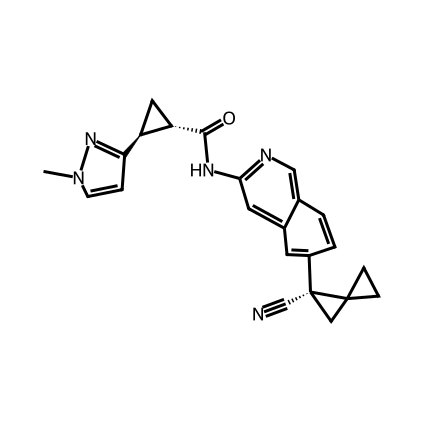 Cn1ccc([C@H]2C[C@@H]2C(=O)Nc2cc3cc([C@]4(C#N)CC45CC5)ccc3cn2)n1